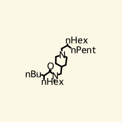 CCCCCCC(CCCCC)CN1CCC(CN(C)C(=O)C(CCCC)CCCCCC)CC1